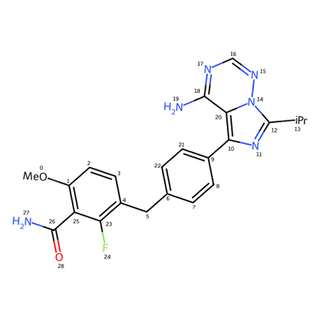 COc1ccc(Cc2ccc(-c3nc(C(C)C)n4ncnc(N)c34)cc2)c(F)c1C(N)=O